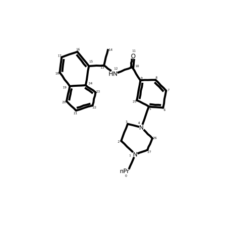 CCCN1CCN(c2cccc(C(=O)NC(C)c3cccc4ccccc34)c2)CC1